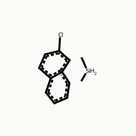 C[SiH2]C.Clc1ccc2ccccc2c1